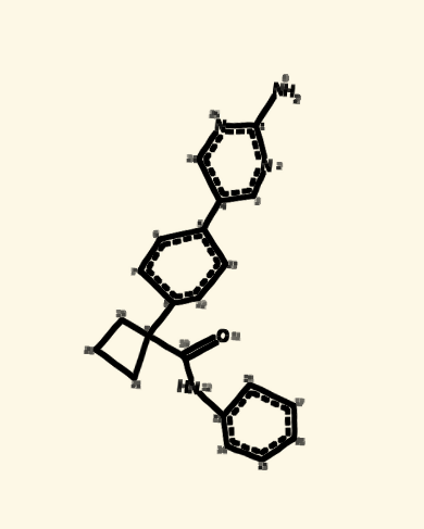 Nc1ncc(-c2ccc(C3(C(=O)Nc4ccccc4)CCC3)cc2)cn1